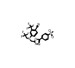 CS(=O)(=O)c1ccc(-c2nnc(CN(CC(F)(F)F)c3ccc(C#N)c(C(F)(F)F)c3)o2)cc1